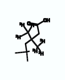 [2H]C([2H])([2H])C(CC(=O)O)(CC(C)(C)C)C([2H])([2H])[2H]